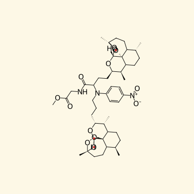 COC(=O)CNC(=O)C(CC[C@H]1O[C@@H]2O[C@]3(C)CCC4[C@H](C)CCC([C@H]1C)[C@]42OO3)N(CCC[C@H]1O[C@@H]2O[C@]3(C)CCC4[C@H](C)CCC([C@H]1C)[C@]42OO3)c1ccc([N+](=O)[O-])cc1